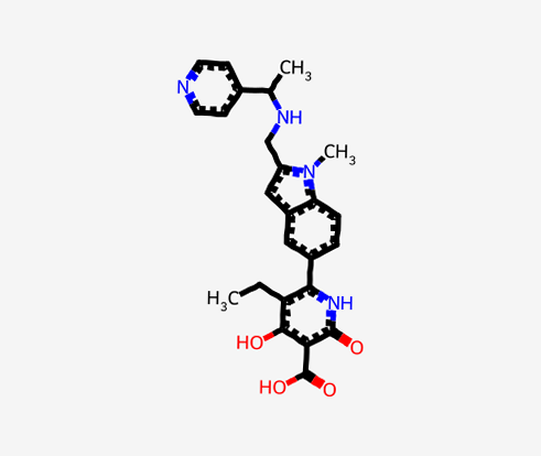 CCc1c(-c2ccc3c(c2)cc(CNC(C)c2ccncc2)n3C)[nH]c(=O)c(C(=O)O)c1O